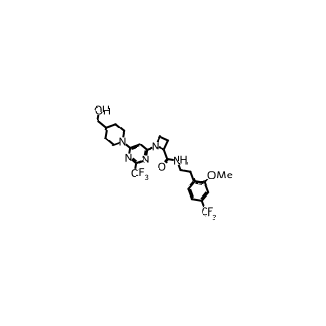 COc1cc(C(F)(F)F)ccc1CCNC(=O)C1CCN1c1cc(N2CCC(CO)CC2)nc(C(F)(F)F)n1